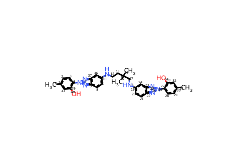 Cc1ccc(-n2n3c4ccc(NCCC(C)(C)CNc5ccc6c(c5)n5n(-c7ccc(C)cc7O)n65)cc4n23)c(O)c1